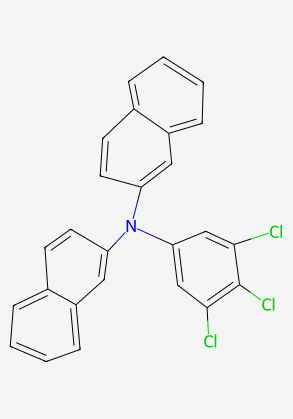 Clc1cc(N(c2ccc3ccccc3c2)c2ccc3ccccc3c2)cc(Cl)c1Cl